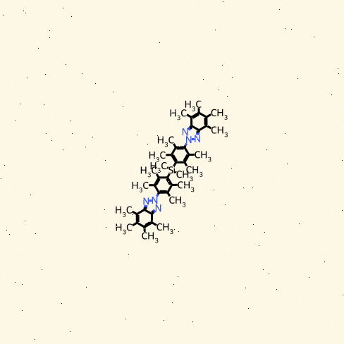 Cc1c(C)c([Si](C)(C)c2c(C)c(C)c(-n3nc4c(C)c(C)c(C)c(C)c4n3)c(C)c2C)c(C)c(C)c1-n1nc2c(C)c(C)c(C)c(C)c2n1